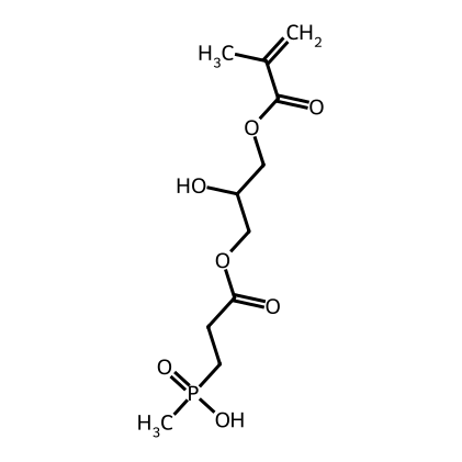 C=C(C)C(=O)OCC(O)COC(=O)CCP(C)(=O)O